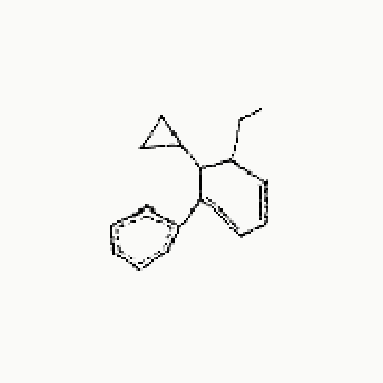 CC[C]1C=CC=C(c2ccccc2)C1C1CC1